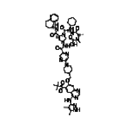 Cc1[nH]nc(Nc2ncnc3cc(OCC4CCN(c5cnc(C(=O)N[C@H]6C[C@@H](C(=O)N[C@@H]7CCCc8ccccc87)N(C(=O)[C@@H](NC(=O)[C@H](C)N(C)C(=O)O)C7CCCCC7)C6)cn5)CC4)c(S(=O)(=O)C(C)(C)C)cc23)c1C